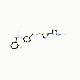 Cn1ccc(-c2ncc(CNC(=O)c3ccc4c(c3)NC(=O)c3ccccc3S4(=O)=O)s2)n1